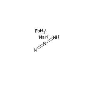 [N-]=[N+]=N.[NaH].[PbH2]